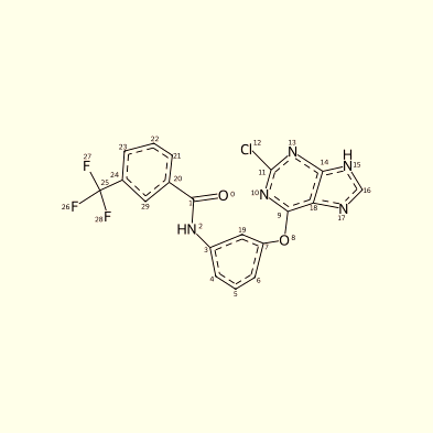 O=C(Nc1cccc(Oc2nc(Cl)nc3[nH]cnc23)c1)c1cccc(C(F)(F)F)c1